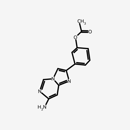 CC(=O)Oc1cccc(-c2cn3cnc(N)cc3n2)c1